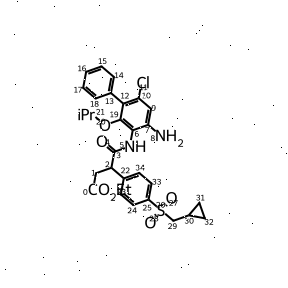 CCOC(=O)CC(C(=O)Nc1c(N)cc(Cl)c(-c2ccccc2)c1OC(C)C)c1ccc(S(=O)(=O)CC2CC2)cc1